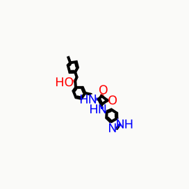 Cc1ccc(CC(O)c2cccc(CNc3c(Nc4ccc5[nH]cnc5c4)c(=O)c3=O)c2)cc1